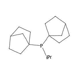 CC(C)P(C12CCC(CC1)C2)C12CCC(CC1)C2